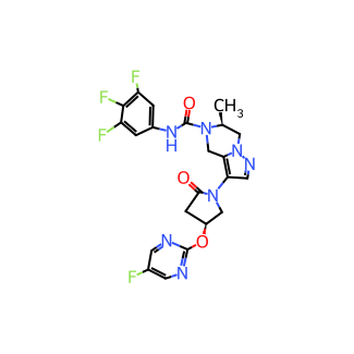 C[C@H]1Cn2ncc(N3C[C@@H](Oc4ncc(F)cn4)CC3=O)c2CN1C(=O)Nc1cc(F)c(F)c(F)c1